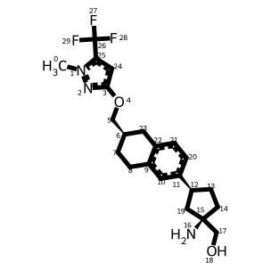 Cn1nc(OC[C@@H]2CCc3cc([C@H]4CC[C@](N)(CO)C4)ccc3C2)cc1C(F)(F)F